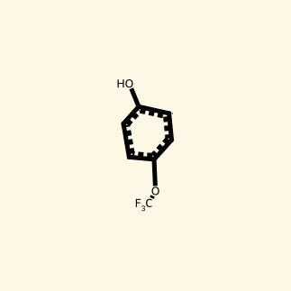 Oc1[c]cc(OC(F)(F)F)cc1